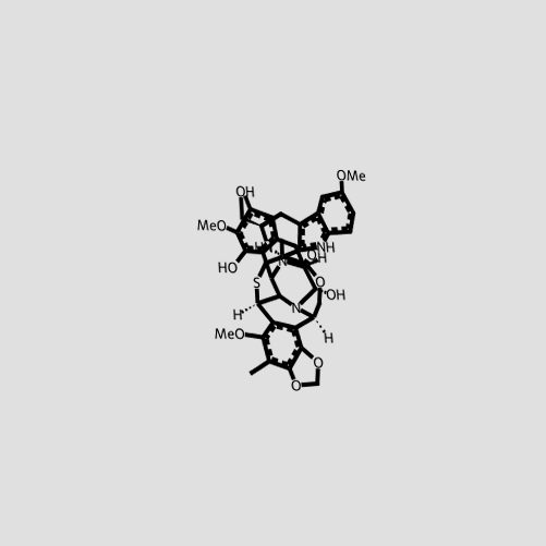 COc1ccc2[nH]c3c(c2c1)C[C@H](CO)N[C@]31CS[C@@H]2c3c(OC)c(C)c4c(c3[C@H](COC1=O)N1C2C2c3c(cc(C)c(OC)c3O)C[C@H]([C@@H]1O)N2C)OCO4